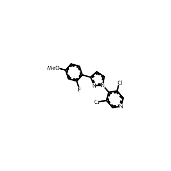 COc1ccc(-c2ccn(-c3c(Cl)cncc3Cl)n2)c(F)c1